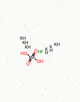 F.[KH].[KH].[KH].[KH].[KH].[KH].[O]=[Mn](=[O])([OH])[OH]